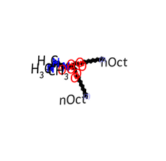 CCCCCCCC/C=C\CCCCCCCCC(=O)OCCC1OC2(CN(C(=O)CCCN(C)CCN(C)C)C2)OC1CCOC(=O)CCCCCCCC/C=C\CCCCCCCC